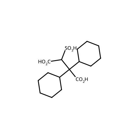 O=C(O)C(C(C(=O)O)(C1CCCCC1)C1CCCCC1)S(=O)(=O)O